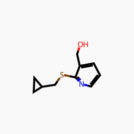 OCc1cccnc1SCC1CC1